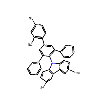 CC(C)(C)c1ccc2c(c1)c1cc(C(C)(C)C)ccc1n2-c1c(-c2ccccc2)cc(-c2ccc(C#N)cc2C#N)cc1-c1ccccc1